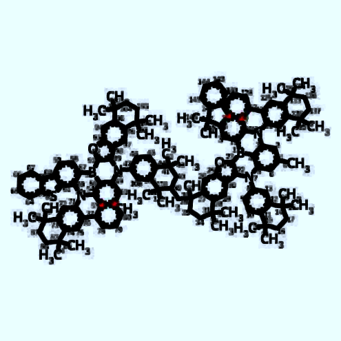 Cc1cc2c3c(c1)N(c1ccc4c(c1)C(C)(C)CCC4(C)C)c1c(oc4cc5c(cc14)C(C)(C)CCC5(C)CC1CC(C)(C)c4ccc(N5c6cc(C)cc7c6B(c6ccc8c(sc9ccccc98)c6N7c6cc7c(cc6-c6ccccc6)C(C)(C)CCC7(C)C)c6oc7cc8c(cc7c65)C(C)(C)CCC8(C)C)cc4C1(C)C)B3c1cc3c(cc1N2c1cc2c(cc1-c1ccccc1)C(C)(C)CCC2(C)C)-c1ccccc1C3(C)C